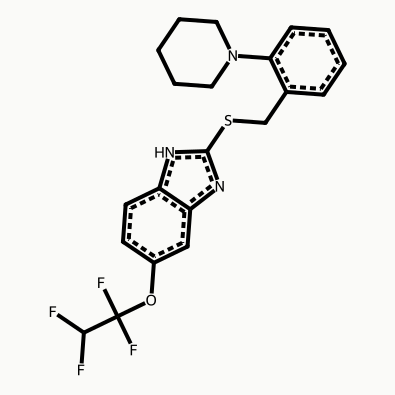 FC(F)C(F)(F)Oc1ccc2[nH]c(SCc3ccccc3N3CCCCC3)nc2c1